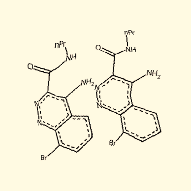 CCCNC(=O)c1nnc2c(Br)cccc2c1N.CCCNC(=O)c1nnc2c(Br)cccc2c1N